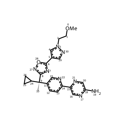 COCCn1cc(-c2nc([C@@](C)(c3ccc(-c4cnc(N)cn4)nc3)C3CC3)no2)cn1